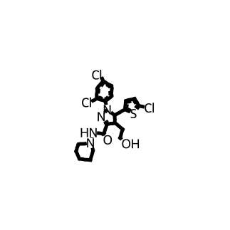 O=C(NN1CCCCC1)C1=NN(c2ccc(Cl)cc2Cl)C(c2ccc(Cl)s2)C1CCO